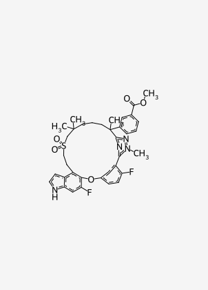 COC(=O)c1cccc(C2(C)CCCC(C)(C)CS(=O)(=O)CCc3c(c(F)cc4[nH]ccc34)Oc3ccc(F)c(c3)-c3nc2nn3C)c1